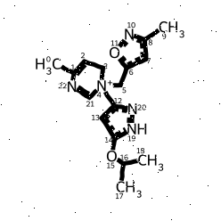 CC1=CC[N+](Cc2cc(C)no2)(c2cc(OC(C)C)[nH]n2)C=N1